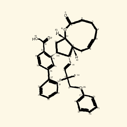 O=C1CCC/C=C\C[C@@H]2[C@H](/C=C/C(F)(F)COc3ccccc3)[C@H](c3cc(-c4ccccc4)ccc3C(=O)O)C[C@@H]2O1